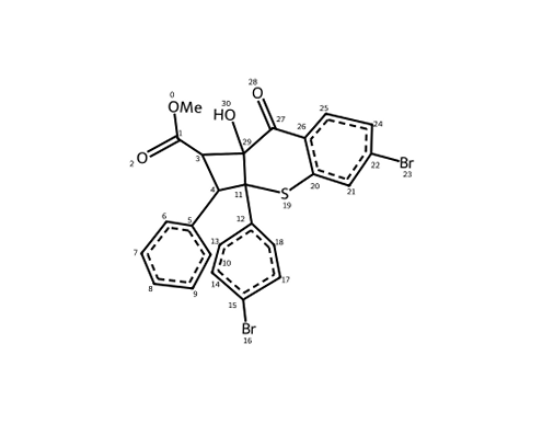 COC(=O)C1C(c2ccccc2)C2(c3ccc(Br)cc3)Sc3cc(Br)ccc3C(=O)C12O